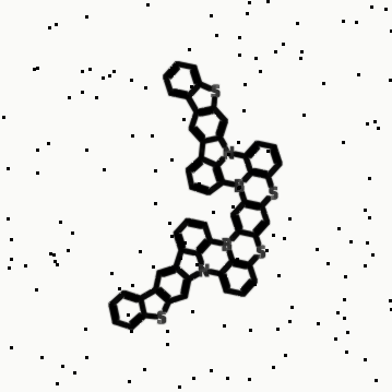 c1cc2c3c(c1)-n1c4cc5sc6ccccc6c5cc4c4cccc(c41)B3c1cc3c(cc1S2)Sc1cccc2c1B3c1cccc3c4cc5c(cc4n-2c13)sc1ccccc15